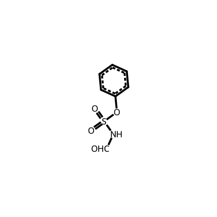 O=CNS(=O)(=O)Oc1ccccc1